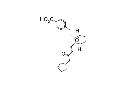 O=C(/C=C/[C@H]1[C@H](CCc2ccc(C(=O)O)cc2)[C@H]2CC[C@@H]1O2)CC1CCCC1